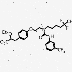 CCOC(Cc1ccc(OCCN(CCCCC(C)(F)F)C(=O)Nc2cccc(C(F)(F)F)c2)cc1)C(=O)O